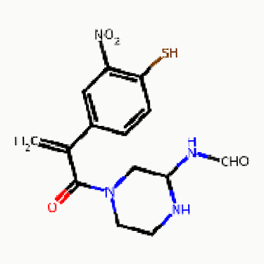 C=C(C(=O)N1CCNC(NC=O)C1)c1ccc(S)c([N+](=O)[O-])c1